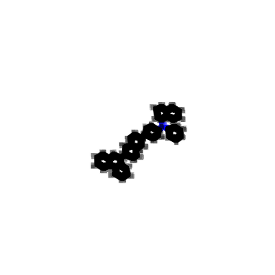 c1ccc(N(c2ccc(-c3ccc4cc(-c5cc6ccccc6c6ccccc56)ccc4c3)cc2)c2cccc3ccccc23)cc1